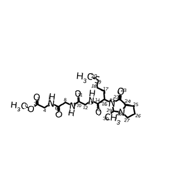 COC(=O)CNC(=O)CNC(=O)CNC(=O)C(CCSC)N1C(=O)C2CCCN2C1C